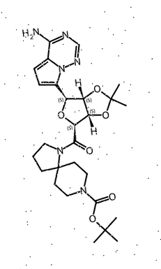 CC(C)(C)OC(=O)N1CCC2(CCCN2C(=O)[C@H]2O[C@@H](c3ccc4c(N)ncnn34)[C@@H]3OC(C)(C)O[C@@H]32)CC1